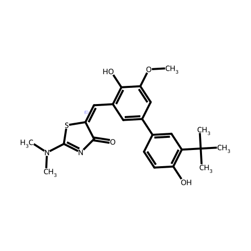 COc1cc(-c2ccc(O)c(C(C)(C)C)c2)cc(/C=C2/SC(N(C)C)=NC2=O)c1O